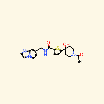 CC(C)C(=O)N1CCC(O)(c2ccc(C(=O)NCc3ccn4ccnc4c3)s2)CC1